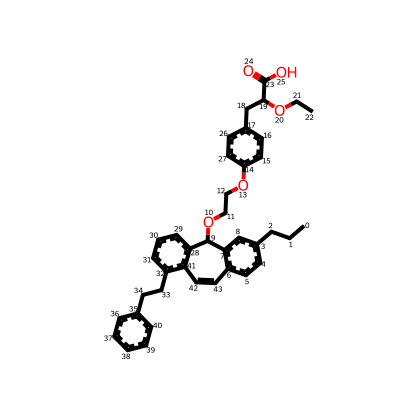 CCCc1ccc2c(c1)C(OCCOc1ccc(CC(OCC)C(=O)O)cc1)c1cccc(CCc3ccccc3)c1C=C2